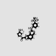 NC1CCN(C(=O)c2nc3ccc4cnc(Nc5cccc(S(N)(=O)=O)c5)nc4c3s2)C1